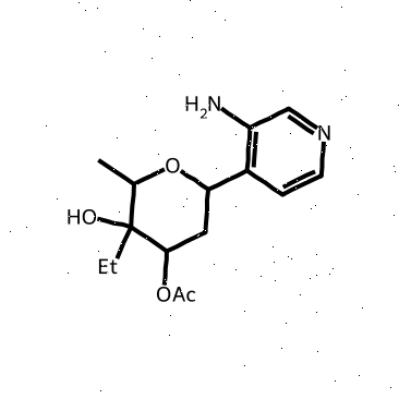 CCC1(O)C(C)OC(c2ccncc2N)CC1OC(C)=O